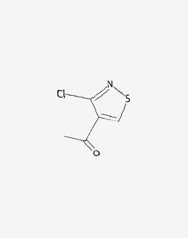 CC(=O)c1csnc1Cl